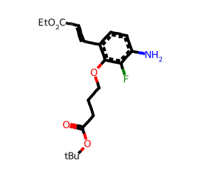 CCOC(=O)/C=C/c1ccc(N)c(F)c1OCCCC(=O)OC(C)(C)C